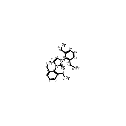 CC(C)Cc1cccc(CC(C)C)c1-n1ccn(-c2c(CC(C)C)cccc2CC(C)C)c1=S